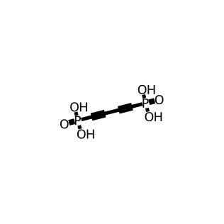 O=P(O)(O)C#CC#CP(=O)(O)O